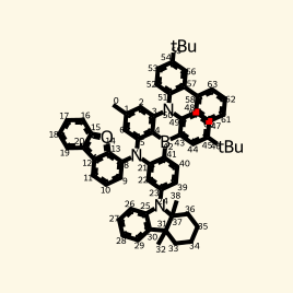 Cc1cc2c3c(c1)N(c1cccc4c1oc1ccccc14)c1cc(N4c5ccccc5C5(C)CCCCC45C)ccc1B3c1cc(C(C)(C)C)ccc1N2c1ccc(C(C)(C)C)cc1-c1ccccc1